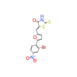 O=C1NC(=S)S/C1=C\c1ccc(-c2ccc([N+](=O)[O-])cc2Br)o1